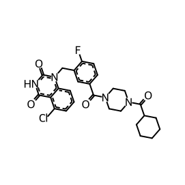 O=C(c1ccc(F)c(Cn2c(=O)[nH]c(=O)c3c(Cl)cccc32)c1)N1CCN(C(=O)C2CCCCC2)CC1